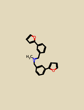 CN(Cc1cccc(-c2ccco2)c1)Cc1cccc(-c2ccco2)c1